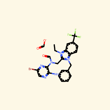 CCn1c(CN(C=O)c2nc(Br)cnc2N)[n+](Cc2ccccc2)c2ccc(C(F)(F)F)cc21.O=C[O-]